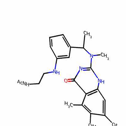 COc1cc2[nH]c(N(C)C(C)c3cccc(NCCNC(C)=O)c3)nc(=O)c2c(C)c1OC